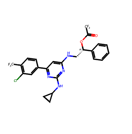 O=C(O[C@@H](CNc1cc(-c2ccc(C(F)(F)F)c(Cl)c2)nc(NC2CC2)n1)c1ccccc1)C(F)(F)F